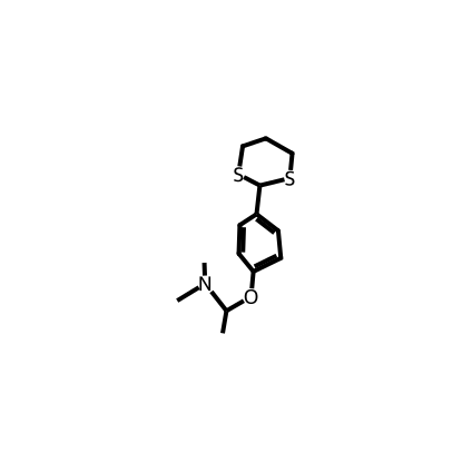 CC(Oc1ccc(C2SCCCS2)cc1)N(C)C